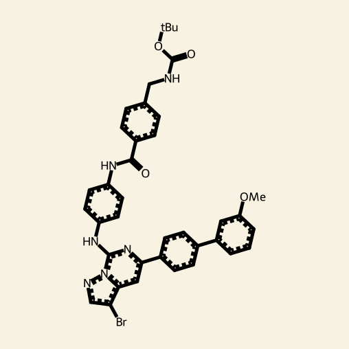 COc1cccc(-c2ccc(-c3cc4c(Br)cnn4c(Nc4ccc(NC(=O)c5ccc(CNC(=O)OC(C)(C)C)cc5)cc4)n3)cc2)c1